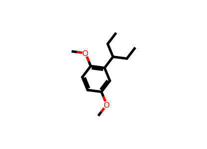 CCC(CC)c1cc(OC)ccc1OC